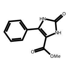 COC(=O)c1[nH]c(=O)[nH]c1-c1ccccc1